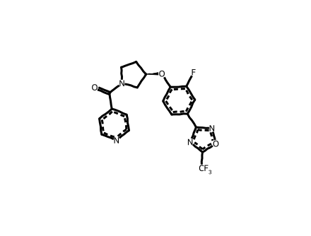 O=C(c1ccncc1)N1CC[C@@H](Oc2ccc(-c3noc(C(F)(F)F)n3)cc2F)C1